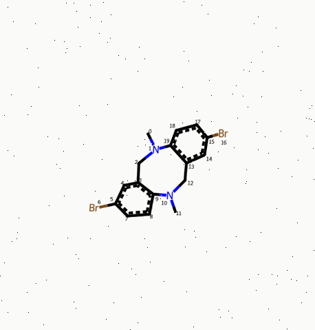 CN1Cc2cc(Br)ccc2N(C)Cc2cc(Br)ccc21